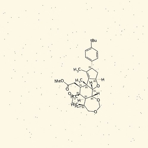 COC(=O)C[C@H]1[C@]2(C)C3=C(C)[C@H](c4ccc(C(C)(C)C)cc4)C[C@H]3O[C@@H]2[C@@H]2OCOC[C@]3(C)C=CC(=O)[C@@]1(C)[C@@H]23